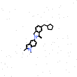 C=C1c2cc(CC3CCCC3)ccc2CN1c1ccc2c(c1)cc(C)n2C